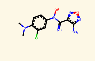 CN(C)c1ccc(N(O)C(=N)c2nonc2N)cc1Cl